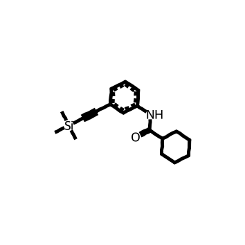 C[Si](C)(C)C#Cc1cccc(NC(=O)C2CCCCC2)c1